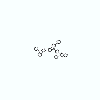 c1ccc(-c2ccc3c4cc(-c5ccc6c(c5)c5ccccc5n6-c5ccccc5)ccc4n(-c4ccc(-c5nc6ccccc6nc5-c5ccccc5)cc4)c3c2)cc1